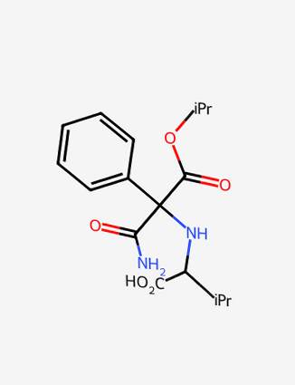 CC(C)OC(=O)C(NC(C(=O)O)C(C)C)(C(N)=O)c1ccccc1